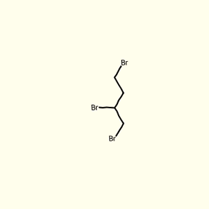 BrCCC(Br)CBr